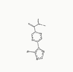 CC(C)c1ncnn1-c1cnc(C(=O)N(C)C)cn1